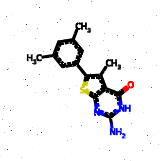 Cc1cc(C)cc(-c2sc3nc(N)[nH]c(=O)c3c2C)c1